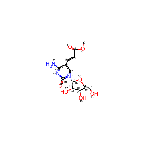 COC(=O)C=Cc1cn([C@@H]2O[C@H](CO)[C@H](O)[C@H]2O)c(=O)nc1N